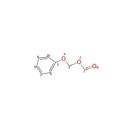 O=[C]O[CH]Oc1ccccc1